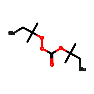 CC(C)(C)CC(C)(C)OOC(=O)OC(C)(C)CC(C)(C)C